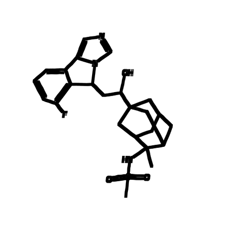 CC1(NS(C)(=O)=O)C2CC3CC1CC(C(O)CC1c4c(F)cccc4-c4cncn41)(C3)C2